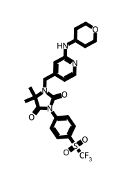 CC1(C)C(=O)N(c2ccc(S(=O)(=O)C(F)(F)F)cc2)C(=O)N1Cc1ccnc(NC2CCOCC2)c1